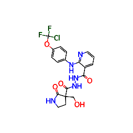 O=C(NNC(=O)C1(CO)CCNC1=O)c1cccnc1Nc1ccc(OC(F)(F)Cl)cc1